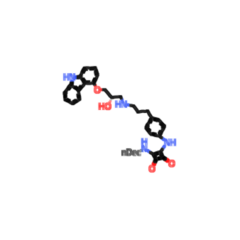 CCCCCCCCCCNc1c(Nc2ccc(CCCNC[C@H](O)COc3cccc4[nH]c5ccccc5c34)cc2)c(=O)c1=O